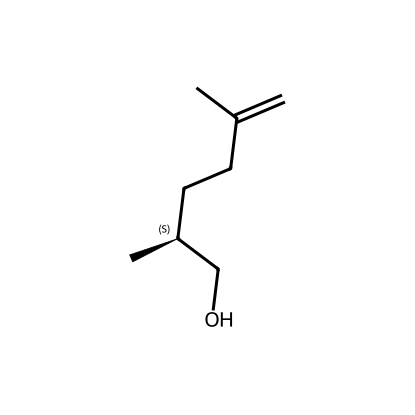 C=C(C)CC[C@H](C)CO